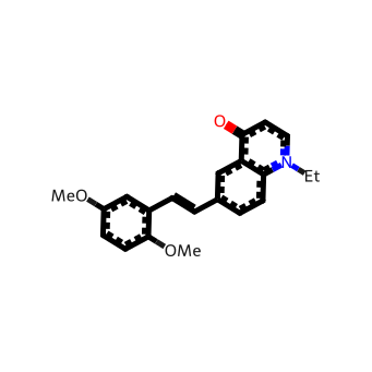 CCn1ccc(=O)c2cc(C=Cc3cc(OC)ccc3OC)ccc21